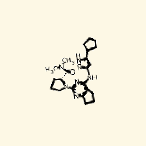 CN(C)C(=O)[C@H]1CCCN1c1nc2c(c(Nc3cc(C4CCCC4)[nH]n3)n1)CCC2